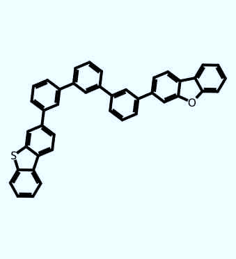 c1cc(-c2cccc(-c3ccc4c(c3)oc3ccccc34)c2)cc(-c2cccc(-c3ccc4c(c3)sc3ccccc34)c2)c1